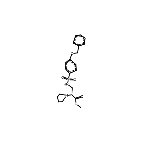 COC(=O)[C@H](CNS(=O)(=O)c1ccc(OCc2ccccc2)cc1)N1CCCC1